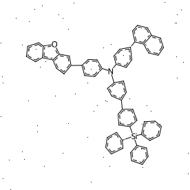 c1ccc([Si](c2ccccc2)(c2ccccc2)c2ccc(-c3ccc(N(c4ccc(-c5ccc6c(c5)oc5ccccc56)cc4)c4ccc(-c5cccc6ccccc56)cc4)cc3)cc2)cc1